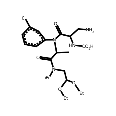 CCOC(CN(C(=O)C(C)N(C(=O)C(CN)NC(=O)O)c1cccc(Cl)c1)C(C)C)OCC